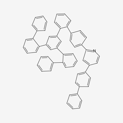 c1ccc(-c2ccc(-c3ccnc(-c4ccc(-c5ccccc5-c5cc(-c6ccccc6-c6ccccc6)cc(-c6ccccc6-c6ccccc6)c5)cc4)c3)cc2)cc1